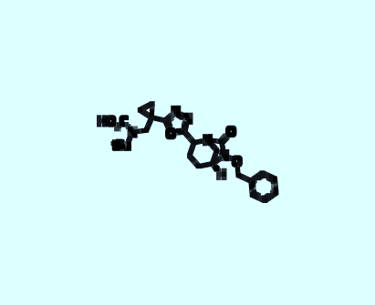 CC(C)(C)N(CC1(c2nnc(C3CC[C@@H]4CN3C(=O)N4OCc3ccccc3)o2)CC1)C(=O)O